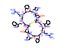 N=C(N)NCCC[C@@H]1NC(=O)[C@@H](Cc2ccccc2)NC(=O)[C@H](Cc2c[nH]cn2)NC(=O)[C@@H]2C[C@@H](O)CN2C(=O)[C@@H]2CSS[C@H](NC(=O)[C@H](Cc3c[nH]c4ccccc34)NC1=O)C(=O)N1C[C@H](O)C[C@H]1C(=O)N[C@@H](Cc1c[nH]cn1)C(=O)N[C@H](Cc1ccccc1)C(=O)N[C@@H](CCCNC(=N)N)C(=O)N[C@@H](CCc1c[nH]c3ccccc13)C(=O)N2